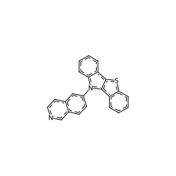 c1ccc2c(c1)sc1c3ccccc3n(-c3ccc4cnccc4c3)c21